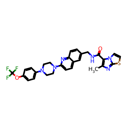 Cc1nc2sccn2c1C(=O)NCc1ccc2nc(N3CCN(c4ccc(OC(F)(F)F)cc4)CC3)ccc2c1